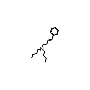 CCCCN(CC/C=C/c1ccccc1)CCCC